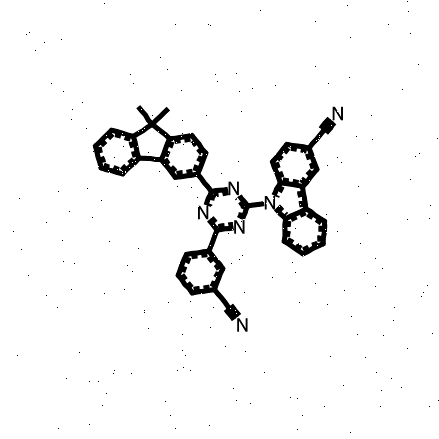 CC1(C)c2ccccc2-c2cc(-c3nc(-c4cccc(C#N)c4)nc(-n4c5ccccc5c5cc(C#N)ccc54)n3)ccc21